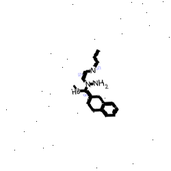 C=C/C=N\C=C/N(N)/C(BC)=C1/CCc2ccccc2C1